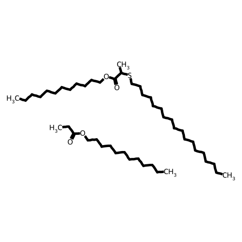 CCCCCCCCCCCCCCCCCCSC(C)C(=O)OCCCCCCCCCCCC.CCCCCCCCCCCCOC(=O)CC